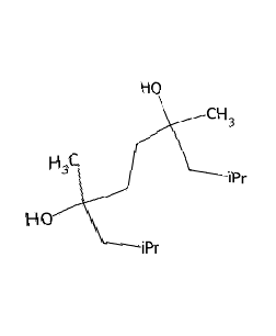 CC(C)CC(C)(O)CCC(C)(O)CC(C)C